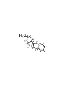 Cc1ccc(-c2ccc3ccccc3c2)c(O)c1